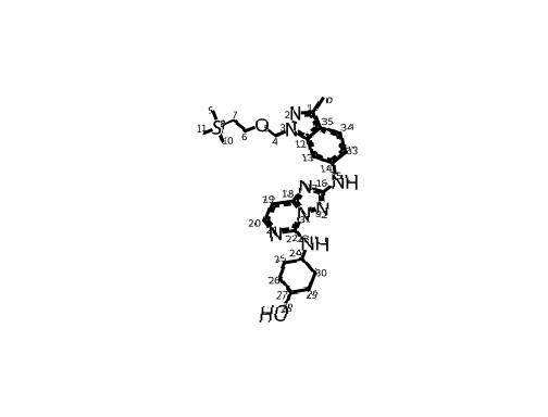 Cc1nn(COCC[Si](C)(C)C)c2cc(Nc3nc4ccnc(NC5CCC(O)CC5)n4n3)ccc12